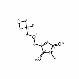 CN1C(=O)C=C(COCC2(C)COC2)C1=O